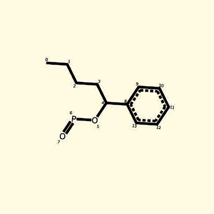 CCCCC(OP=O)c1ccccc1